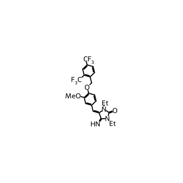 CCN1C(=N)/C(=C/c2ccc(OCc3ccc(C(F)(F)F)cc3C(F)(F)F)c(OC)c2)N(CC)C1=O